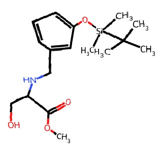 COC(=O)C(CO)NCc1cccc(O[Si](C)(C)C(C)(C)C)c1